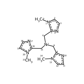 Cn1ccnc1CN(Cc1nccn1C)Cc1nccn1C